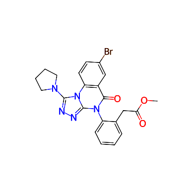 COC(=O)Cc1ccccc1-n1c(=O)c2cc(Br)ccc2n2c(N3CCCC3)nnc12